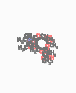 CC[C@H]1OC(=O)[C@H](C)[C@@H](OC2CC(C)(OC)C(O)C(C)O2)[C@H](C)[C@@H](OC2CC(NC(C)C)CC(C)O2)[C@@](C)(O)C[C@@H](C)C(=O)[C@H](C)[C@@H](O)[C@]1(C)O